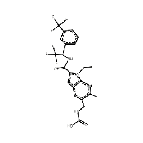 CCn1c(C(=O)NC(c2cccc(C(F)(F)F)c2)C(F)(F)F)cc2cc(CNC(=O)O)c(C)nc21